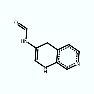 O=CNC1=CNc2cnccc2C1